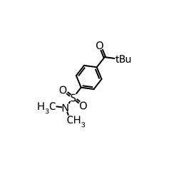 CN(C)S(=O)(=O)c1ccc(C(=O)C(C)(C)C)cc1